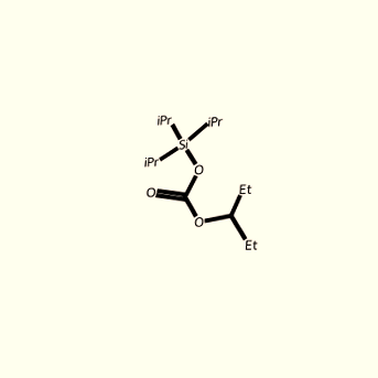 CCC(CC)OC(=O)O[Si](C(C)C)(C(C)C)C(C)C